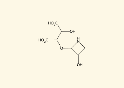 O=C(O)C(O)C(OC1NCC1O)C(=O)O